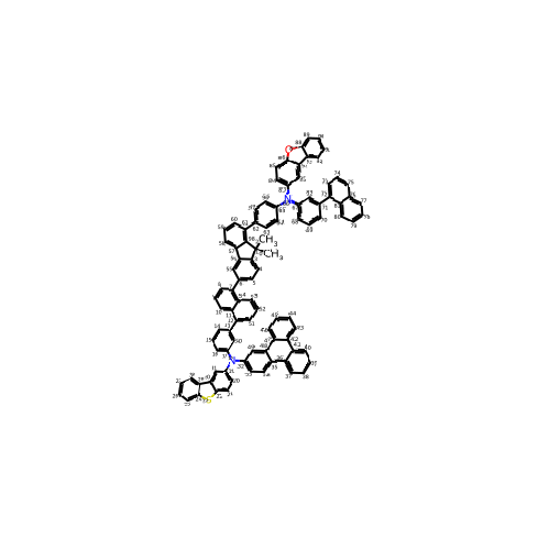 CC1(C)c2ccc(-c3cccc4c(-c5cccc(N(c6ccc7sc8ccccc8c7c6)c6ccc7c8ccccc8c8ccccc8c7c6)c5)cccc34)cc2-c2cccc(-c3ccc(N(c4cccc(-c5cccc6ccccc56)c4)c4ccc5oc6ccccc6c5c4)cc3)c21